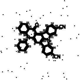 N#Cc1ccc2c3cc4c(c(=O)c5ccccc5n4-c4ccccc4)c4c5ccc(C#N)cc5n(c2c1)c34